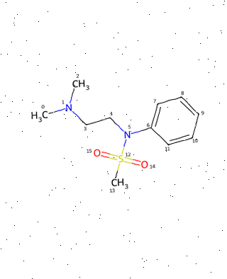 CN(C)CCN(c1ccccc1)S(C)(=O)=O